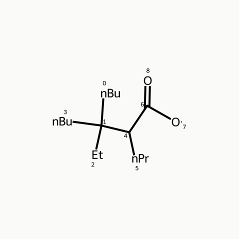 CCCCC(CC)(CCCC)C(CCC)C([O])=O